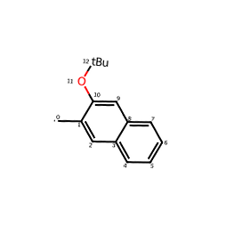 [CH2]c1cc2ccccc2cc1OC(C)(C)C